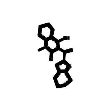 Cn1c(=O)c(C(=O)c2cc3ccccc3s2)c(O)c2ccccc21